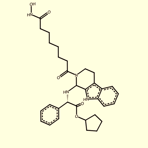 O=C(CCCCCCC(=O)N1CCc2c([nH]c3ccccc23)C1N[C@H](C(=O)OC1CCCC1)c1ccccc1)NO